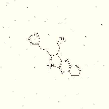 CCCC(NCCc1ccccc1)c1nc2c(nc1N)CCC=C2